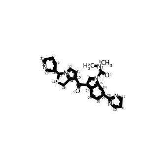 CN(C)C(=O)n1cc(C(=O)c2ccn3c2CSC3c2cccnc2)c2ccc(-c3ncccn3)cc21